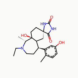 CCN1CC[C@H](c2cc(O)ccc2C)C2C[C@]3(CC[C@@]2(O)[C@H]1C)NC(=O)NC3=O